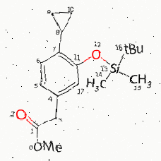 COC(=O)Cc1ccc(C2CC2)c(O[Si](C)(C)C(C)(C)C)c1